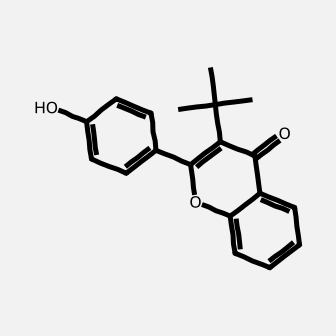 CC(C)(C)c1c(-c2ccc(O)cc2)oc2ccccc2c1=O